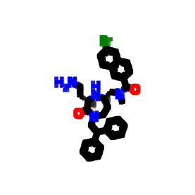 CN(C[C@@H]1CCN(CC(c2ccccc2)c2ccccc2)C(=O)[C@H](CCN)N1)C(=O)c1ccc2cc(Br)ccc2c1